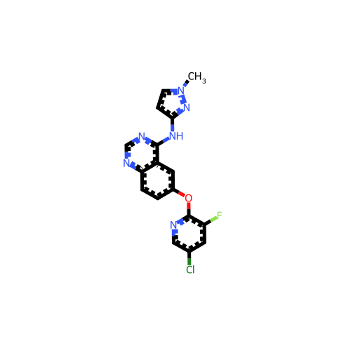 Cn1ccc(Nc2ncnc3ccc(Oc4ncc(Cl)cc4F)cc23)n1